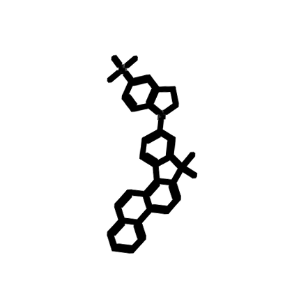 CC1(C)c2cc(N3CCc4cc([Si](C)(C)C)ccc43)ccc2-c2c1ccc1c2ccc2ccccc21